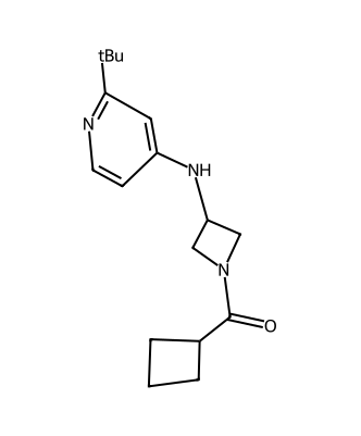 CC(C)(C)c1cc(NC2CN(C(=O)C3CCC3)C2)ccn1